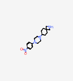 O=[N+]([O-])c1ccc(N2CCN(C3CCC4(CC3)CNC4)CC2)cc1